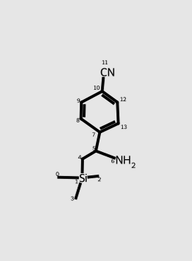 C[Si](C)(C)CC(N)c1ccc(C#N)cc1